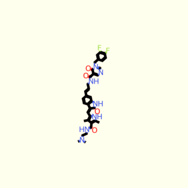 Cc1[nH]c(C=C2C(=O)Nc3cc(C=CCNC(=O)c4cncn(Cc5ccc(F)c(F)c5)c4=O)ccc32)c(C)c1C(=O)NCCN(C)C